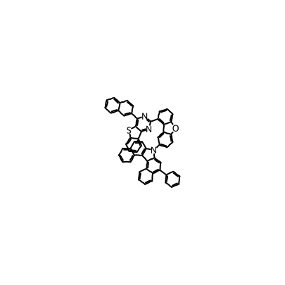 c1ccc(-c2cc3c(c4ccccc24)c2c4ccccc4ccc2n3-c2ccc3oc4cccc(-c5nc(-c6ccc7ccccc7c6)c6sc7ccccc7c6n5)c4c3c2)cc1